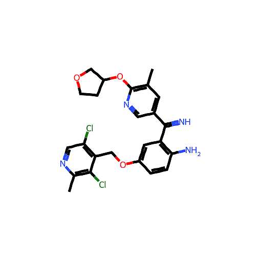 Cc1cc(C(=N)c2cc(OCc3c(Cl)cnc(C)c3Cl)ccc2N)cnc1OC1CCOC1